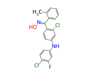 Cc1ccccc1C(=NO)c1ccc(Nc2ccc(Cl)c(F)c2)cc1Cl